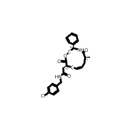 C[C@H]1C/C=C\C[C@@H](CC(=O)NCc2ccc(Cl)cc2)C(=O)OC[C@@H](c2ccccc2)NC1=O